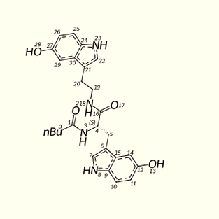 CCCCC(=O)N[C@@H](Cc1c[nH]c2ccc(O)cc12)C(=O)NCCc1c[nH]c2ccc(O)cc12